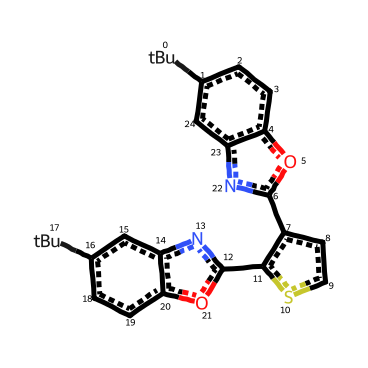 CC(C)(C)c1ccc2oc(-c3ccsc3-c3nc4cc(C(C)(C)C)ccc4o3)nc2c1